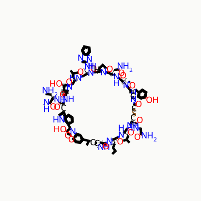 CCCC[C@H]1C(=O)N[C@@H](CC(C)C)C(=O)N[C@H](C(=O)NCC(N)=O)CSCC(=O)NC[C@@H](Cc2ccc(O)cc2)C(=O)N(C)[C@@H](C)C(=O)N[C@@H](CC(N)=O)C(=O)N2CCC[C@H]2C(=O)N[C@@H](CNc2cnc3ccccc3n2)C(=O)N[C@@H](CC(C)C)C(=O)N2C[C@H](O)C[C@H]2C(=O)N[C@H](C(=O)N[C@@H](CCN)C(=O)NC)Cc2c[nH]c3c(cccc23)C(C(=O)O)N(C(C)OC)c2cccc(c2)C(C)CC[C@H](NC)C(=O)N1C